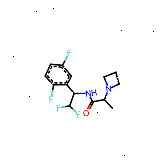 CC(C(=O)NC(c1cc(F)ccc1F)C(F)F)N1CCC1